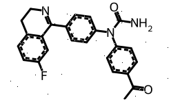 CC(=O)c1ccc(N(C(N)=O)c2ccc(C3=NCCc4ccc(F)cc43)cc2)cc1